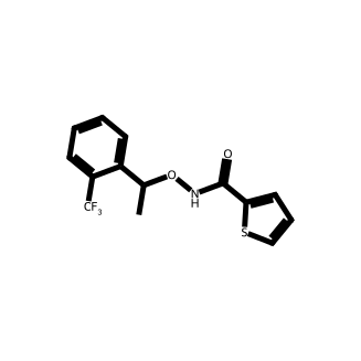 CC(ONC(=O)c1cccs1)c1ccccc1C(F)(F)F